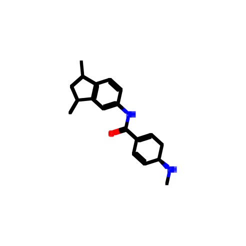 CN[C@H]1C=CC(C(=O)Nc2ccc3c(c2)C(C)CC3C)=CC1